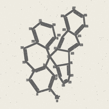 Brc1ccc2c(c1)C1(c3ccccc3C=C2)c2ccccc2-c2cc3ccccc3cc21